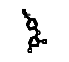 N#[N+]c1ccc(Oc2ccc(Cl)cc2Cl)cc1